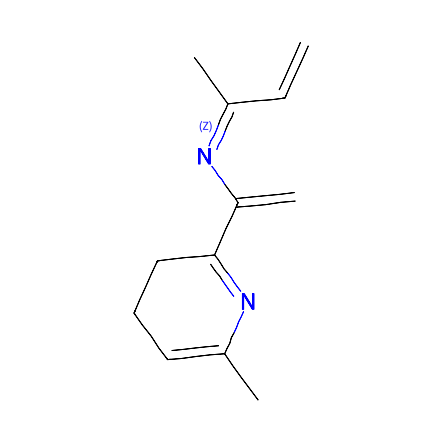 C=C/C(C)=N\C(=C)C1=NC(C)=CCC1